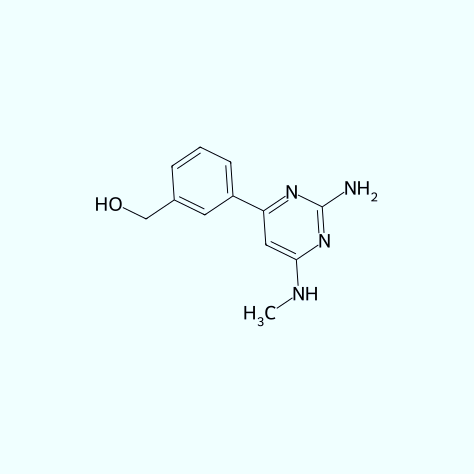 CNc1cc(-c2cccc(CO)c2)nc(N)n1